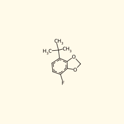 CC(C)(C)c1ccc(F)c2c1OCO2